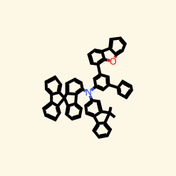 CC1(C)c2ccccc2-c2ccc(N(c3cc(-c4ccccc4)cc(-c4cccc5c4oc4ccccc45)c3)c3cccc4c3-c3ccccc3C43c4ccccc4-c4ccccc43)cc21